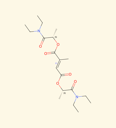 CCN(CC)C(=O)[C@H](C)OC(=O)/C=C(\C)C(=O)O[C@@H](C)C(=O)N(CC)CC